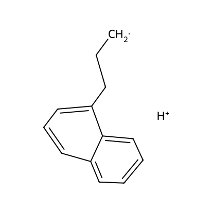 [CH2]CCc1cccc2ccccc12.[H+]